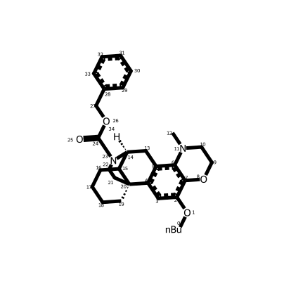 CCCCOc1cc2c(c3c1OCCN3C)C[C@H]1C3CCCC[C@@]23CCN1C(=O)OCc1ccccc1